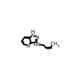 C/C=C\CNc1n[nH]c2cccnc12